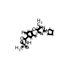 Cc1nc(N2CCCC2)ncc1Oc1cc(F)c(C(=O)NS(C)(=O)=O)cc1F